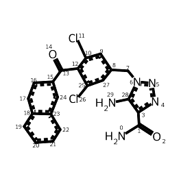 NC(=O)c1nnn(Cc2cc(Cl)c(C(=O)c3ccc4ccccc4c3)c(Cl)c2)c1N